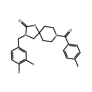 Cc1ccc(C(=O)N2CCC3(CC2)CN(Cc2ccc(F)c(F)c2)C(=O)O3)cc1